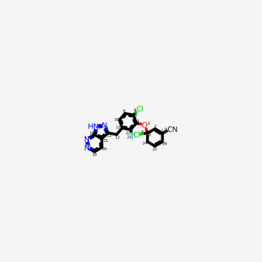 N#CC1=CC(Cl)(Oc2c(Cl)ccc(Cc3n[nH]c4nnccc34)c2F)CC=C1